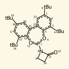 CC(C)(C)c1cc(C(C)(C)C)c2op(N3CCC3=O)oc3c(C(C)(C)C)cc(C(C)(C)C)cc3c2c1